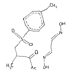 CC(=O)C(=O)C(C)CS(=O)(=O)c1ccc(C)cc1.ON=CC=NO